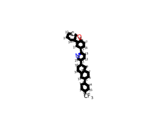 FC(F)(F)c1ccc(-c2ccc3cc(-c4ccc(-c5ccc6oc7ccccc7c6c5)nc4)ccc3c2)cc1